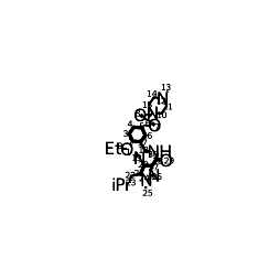 CCOc1ccc(S(=O)(=O)N2CCN(C)CC2)cc1-c1nc2c(CC(C)C)n(C)nc2c(=O)[nH]1